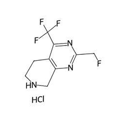 Cl.FCc1nc2c(c(C(F)(F)F)n1)CCNC2